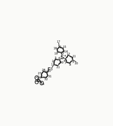 Cc1ccc([S+](c2ccc(C)cc2)c2ccc(C)cc2)cc1.O=S(=O)([O-])c1ccc(F)cc1